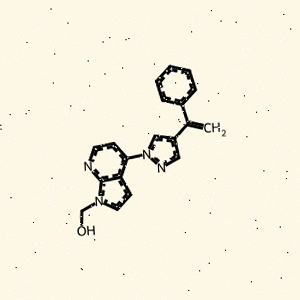 C=C(c1ccccc1)c1cnn(-c2ccnc3c2ccn3CO)c1